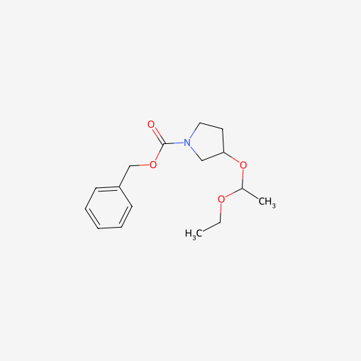 CCOC(C)OC1CCN(C(=O)OCc2ccccc2)C1